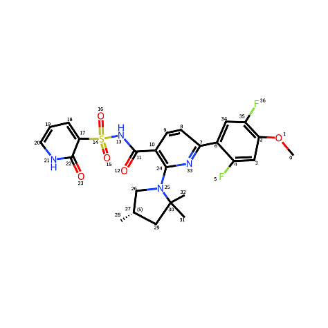 COc1cc(F)c(-c2ccc(C(=O)NS(=O)(=O)c3ccc[nH]c3=O)c(N3C[C@@H](C)CC3(C)C)n2)cc1F